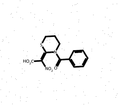 O=C(O)C(=C1SCCCN1C(=O)c1ccccc1)[N+](=O)[O-]